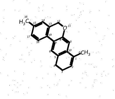 CC1=CCCc2cc3c(cc21)OCc1cc(C)ccc1-3